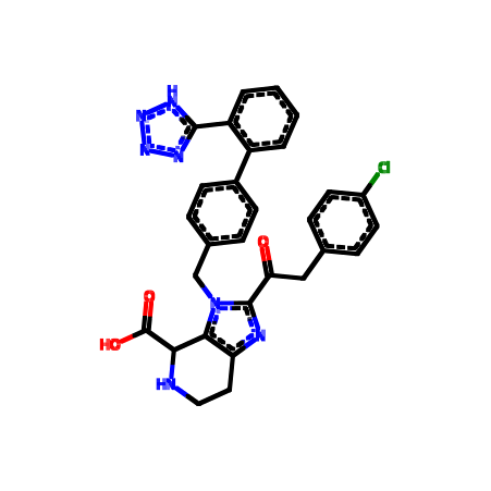 O=C(Cc1ccc(Cl)cc1)c1nc2c(n1Cc1ccc(-c3ccccc3-c3nnn[nH]3)cc1)C(C(=O)O)NCC2